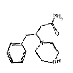 NC(=O)CC(Cc1ccccc1)N1CCNCC1